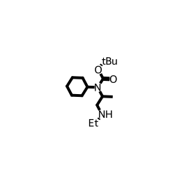 CCNCC(C)N(C(=O)OC(C)(C)C)C1CCCCC1